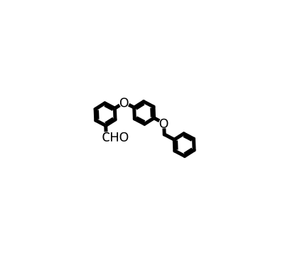 O=Cc1cccc(Oc2ccc(OCc3ccccc3)cc2)c1